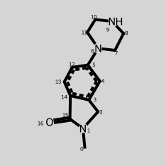 CN1Cc2cc(N3CCNCC3)ccc2C1=O